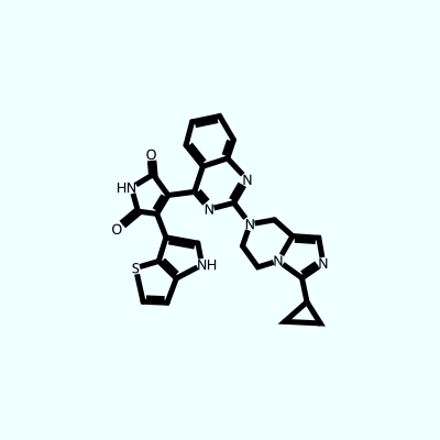 O=C1NC(=O)C(c2c[nH]c3ccsc23)=C1c1nc(N2CCn3c(cnc3C3CC3)C2)nc2ccccc12